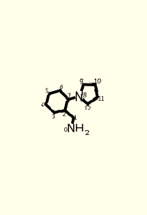 NCC1CCCCC1N1CCCC1